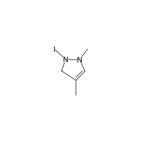 CC1=CN(C)N(I)C1